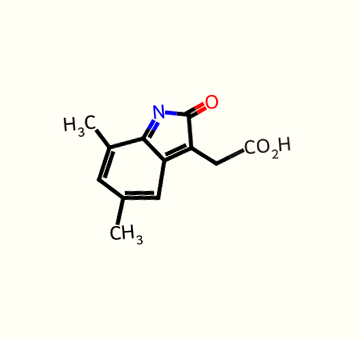 Cc1cc(C)c2c(c1)=C(CC(=O)O)C(=O)N=2